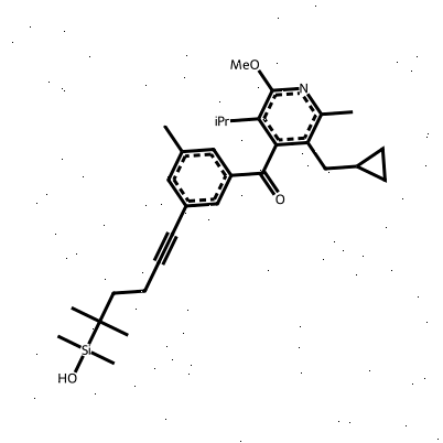 COc1nc(C)c(CC2CC2)c(C(=O)c2cc(C)cc(C#CCCC(C)(C)[Si](C)(C)O)c2)c1C(C)C